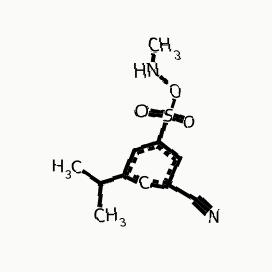 CNOS(=O)(=O)c1cc(C#N)cc(C(C)C)c1